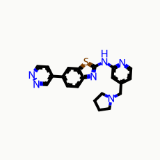 c1cc(-c2ccc3nc(Nc4cc(CN5CCCC5)ccn4)sc3c2)cnn1